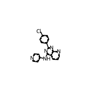 Clc1ccc(-c2nc(Nc3ccncc3)c3cccnc3n2)cc1